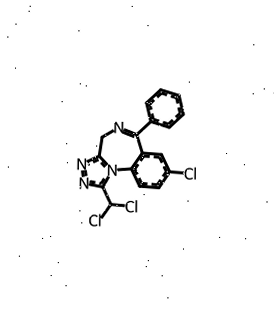 Clc1ccc2c(c1)C(c1ccccc1)=NCc1nnc(C(Cl)Cl)n1-2